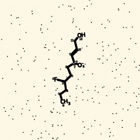 CCCC(F)CC[S+]([O-])C=CCO